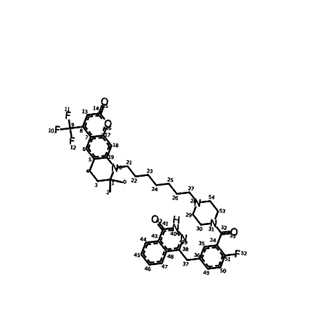 CC1(C)CCc2cc3c(C(F)(F)F)cc(=O)oc3cc2N1CCCCCCCN1CCN(C(=O)c2cc(Cc3n[nH]c(=O)c4ccccc34)ccc2F)CC1